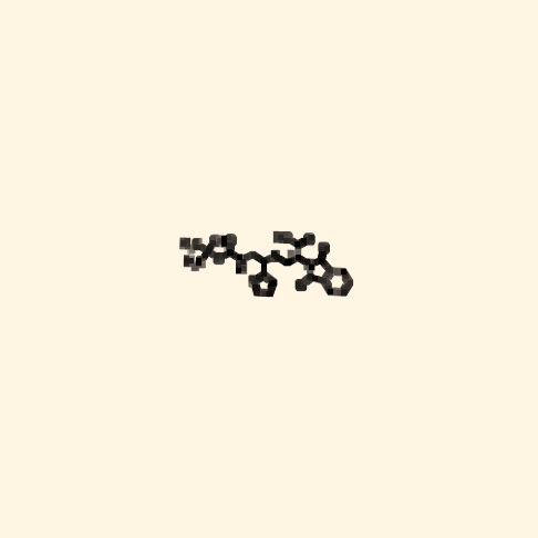 CC(C)(C)OC(=O)NCC(SC[C@@H](C(=O)O)N1C(=O)c2ccccc2C1=O)c1cccs1